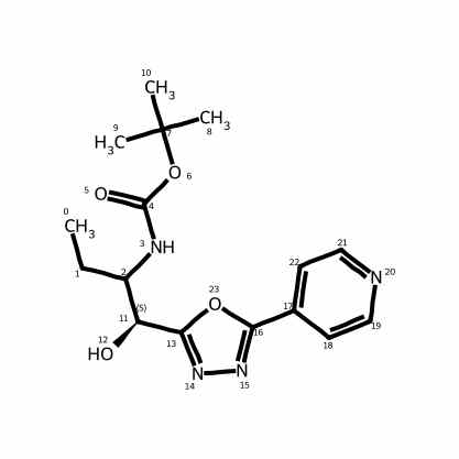 CCC(NC(=O)OC(C)(C)C)[C@H](O)c1nnc(-c2ccncc2)o1